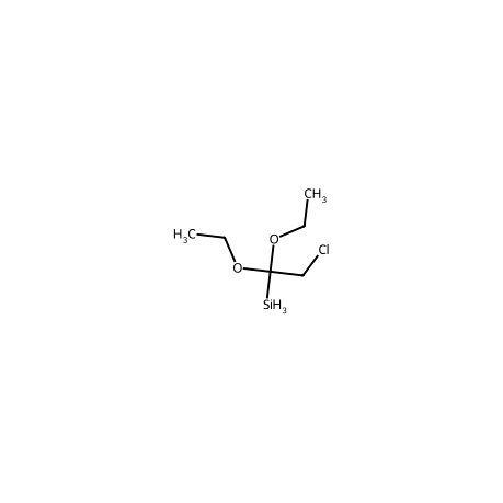 CCOC([SiH3])(CCl)OCC